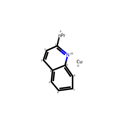 CCCc1ccc2ccccc2n1.[Cu]